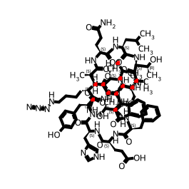 CC(=O)N[C@@H](CC(C)C)C(=O)N[C@H](C(=O)N[C@@H](Cc1ccccc1)C(=O)N[C@@H](CCC(=O)O)C(=O)N[C@@H](Cc1c[nH]cn1)C(=O)N[C@@H](Cc1ccc(O)cc1)C(=O)N[C@@H](Cc1c[nH]c2ccccc12)C(=O)N[C@@H](C)C(=O)N[C@@H](CCC(N)=O)C(=O)N[C@@H](CC(C)C)C(=O)N[C@H](C(=O)N[C@@H](CO)C(=O)N[C@@H](C)C(=O)N[C@@H](CCCCNN=[N+]=[N-])C(N)=O)[C@@H](C)O)[C@@H](C)O